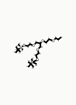 CCCOCCOC(COCCO[Si](C)(C)C(C)(C)C)COCCO[Si](C)(C)C(C)(C)C